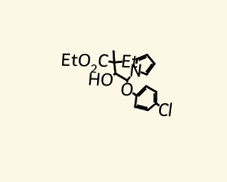 CCOC(=O)C(C)(CC)C(O)C(Oc1ccc(Cl)cc1)n1cccc1